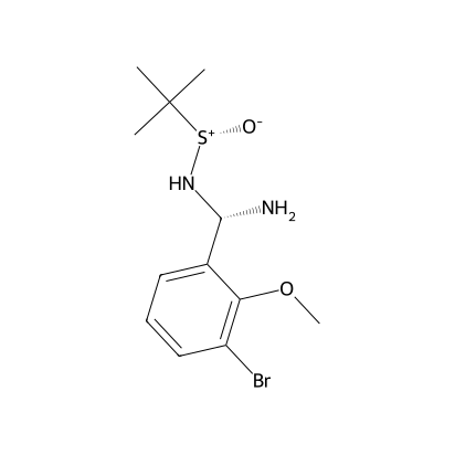 COc1c(Br)cccc1[C@@H](N)N[S@@+]([O-])C(C)(C)C